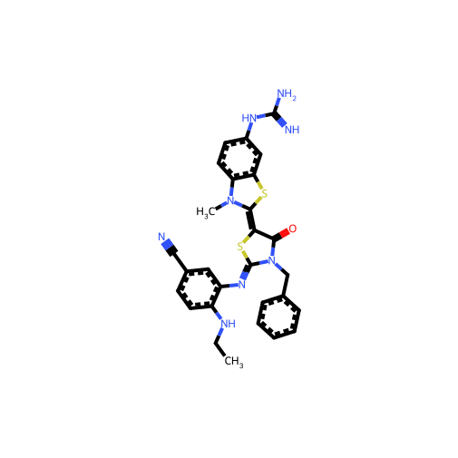 CCNc1ccc(C#N)cc1N=C1SC(=C2Sc3cc(NC(=N)N)ccc3N2C)C(=O)N1Cc1ccccc1